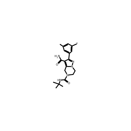 Cc1cc(F)cc(-c2nn3c(c2C(N)=O)CN(C(=O)NC(C)(C)C)CC3)c1